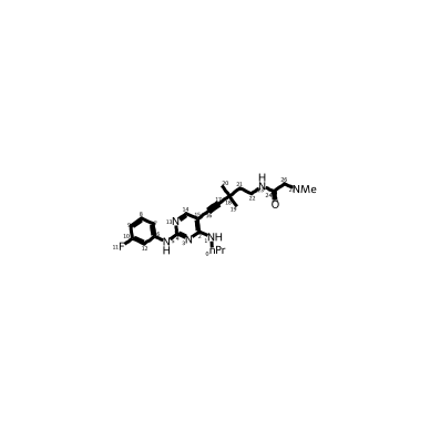 CCCNc1nc(Nc2cccc(F)c2)ncc1C#CC(C)(C)CCNC(=O)CNC